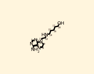 Nc1ncnc2c1N=CCN2CCNCCCCCO